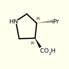 CC(C)[C@H]1CNC[C@@H]1C(=O)O